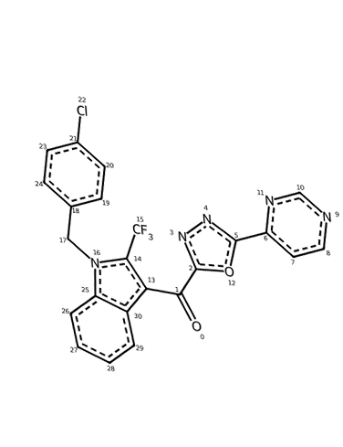 O=C(c1nnc(-c2ccncn2)o1)c1c(C(F)(F)F)n(Cc2ccc(Cl)cc2)c2ccccc12